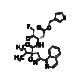 CC(C)C1(C(=O)N[C@@H](CC(=O)OCc2ccsc2)C(=O)CF)CC(c2nccc3ccccc23)=NO1